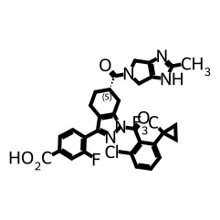 Cc1nc2c([nH]1)CN(C(=O)[C@H]1CCc3c(-c4ccc(C(=O)O)cc4F)nn(C(=O)c4c(Cl)cccc4C4(C(F)(F)F)CC4)c3C1)C2